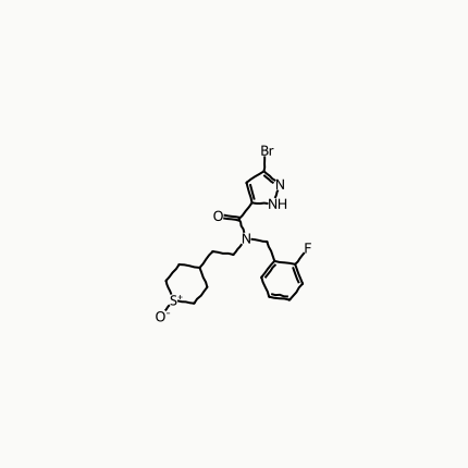 O=C(c1cc(Br)n[nH]1)N(CCC1CC[S+]([O-])CC1)Cc1ccccc1F